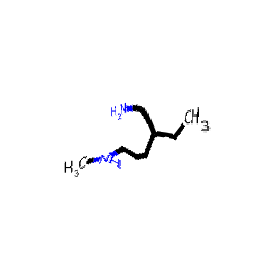 CCC(CN)CCNC